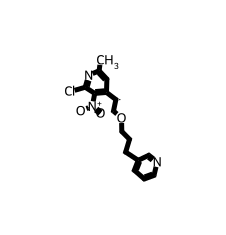 Cc1cc([CH]COCCCc2cccnc2)c([N+](=O)[O-])c(Cl)n1